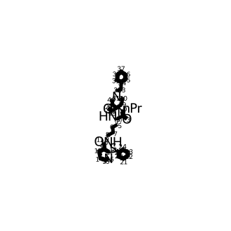 CCCN1C(=O)[C@H](CCCCNC(=O)c2cccnc2Sc2ccccc2)NC(=O)C12CCN(CCc1ccccc1)CC2